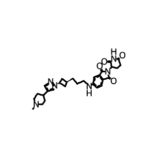 CN1CCC(c2cnn([C@H]3C[C@H](CCCNc4ccc5c(c4)C(=O)N(C4CCC(=O)NC4=O)C5=O)C3)c2)CC1